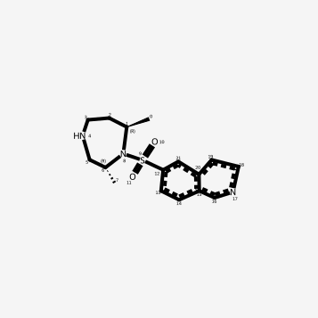 C[C@@H]1CCNC[C@@H](C)N1S(=O)(=O)c1ccc2cnccc2c1